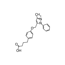 Cc1cc(COc2ccc(CCCC(=O)O)cc2)n(-c2ccccc2)n1